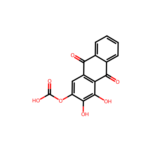 O=C(O)Oc1cc2c(c(O)c1O)C(=O)c1ccccc1C2=O